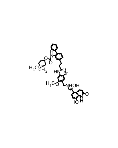 COc1cc(NC(=O)CCc2ccc(-c3ccccc3)c(NC(=O)OC3CC[N+](C)(C)CC3)c2)c(Br)cc1CNC[C@H](O)c1ccc(O)c2[nH]c(=O)ccc12